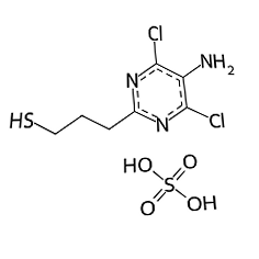 Nc1c(Cl)nc(CCCS)nc1Cl.O=S(=O)(O)O